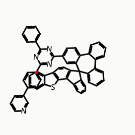 c1ccc(-c2nc(-c3ccc(-c4cccnc4)cc3)nc(-c3ccc4c(c3)C3(c5ccccc5-c5ccccc5-4)c4ccccc4-c4c3ccc3c4sc4ccccc43)n2)cc1